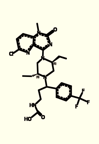 CC[C@H]1CN(C(CCNC(=O)O)c2ccc(C(F)(F)F)cc2)[C@H](CC)CN1c1nc(=O)n(C)c2ccc(Cl)nc12